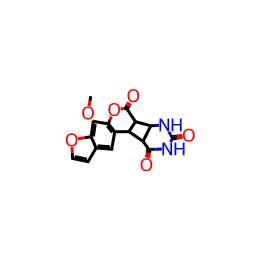 COc1c2c(cc3ccoc13)C1C3C(=O)NC(=O)NC3C1C(=O)O2